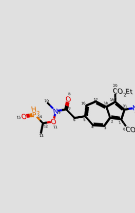 CCOC(=O)c1c2ccc(CC(=O)N(C)OC(C)[PH2]=O)ccc-2c(C(=O)OCC)c1N